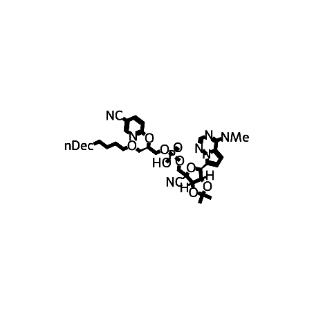 CCCCCCCCCCCCCCOC[C@H](COP(=O)(O)OC[C@@]1(C#N)O[C@@H](c2ccc3c(NC)ncnn23)[C@@H]2OC(C)(C)O[C@@H]21)Oc1ccc(C#N)cn1